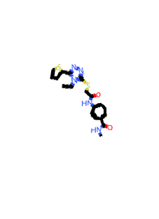 CCn1c(SCC(=O)NC2=CCC=C(C(=O)NC)C=C2)nnc1-c1cccs1